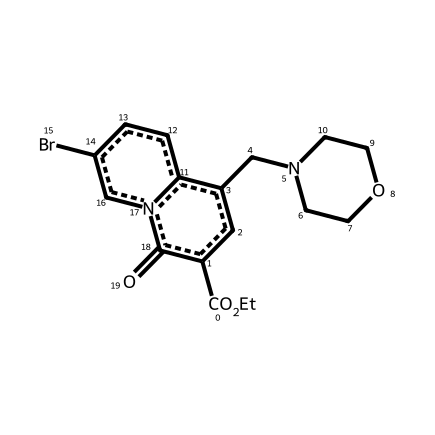 CCOC(=O)c1cc(CN2CCOCC2)c2ccc(Br)cn2c1=O